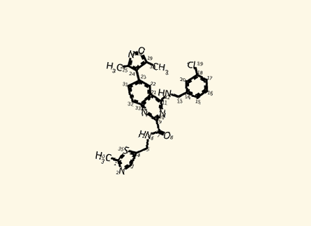 Cc1ncc(CNC(=O)c2nc(NCc3cccc(Cl)c3)c3cc(-c4c(C)noc4C)ccc3n2)s1